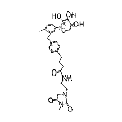 Cc1ccc([C@@H]2OC[C@@H](O)[C@H](O)[C@H]2O)cc1Cc1ccc(CCCC(=O)NCCN2CC(=O)N(C)C(=O)C2)cc1